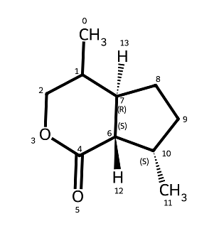 CC1COC(=O)[C@@H]2[C@@H]1CC[C@@H]2C